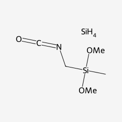 CO[Si](C)(CN=C=O)OC.[SiH4]